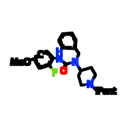 CCCC(C)N1CCC(N(Cc2ccccc2)C(=O)Nc2ccc(OC)cc2F)CC1